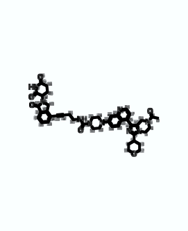 CC(=O)N1CCn2c(C3CCOCC3)nc(-c3ccnc4cc(N5CCN(C(=O)NCCC#Cc6cccc7c6CN(C6CCC(=O)NC6=O)C7=O)CC5)ccc34)c2C1